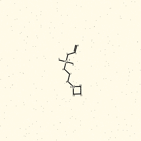 C=CC[Si](C)(C)CCCN1CCC1